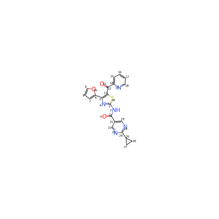 O=C(Nc1nc(-c2ccco2)c(C(=O)c2ccccn2)s1)c1cnc(C2CC2)nc1